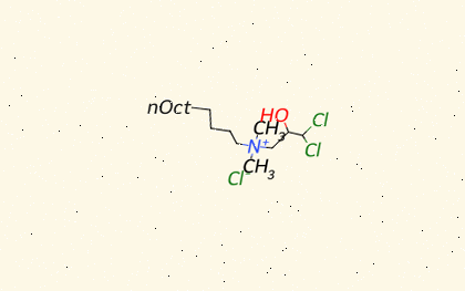 CCCCCCCCCCCC[N+](C)(C)CC(O)C(Cl)Cl.[Cl-]